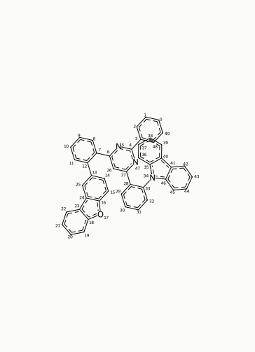 c1ccc(-c2nc(-c3ccccc3-c3ccc4oc5ccccc5c4c3)cc(-c3ccccc3-n3c4ccccc4c4ccccc43)n2)cc1